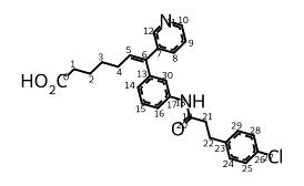 O=C(O)CCCCC=C(c1cccnc1)c1cccc(NC(=O)CCc2ccc(Cl)cc2)c1